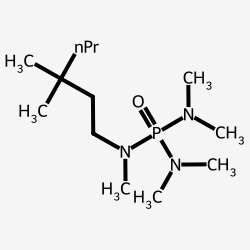 CCCC(C)(C)CCN(C)P(=O)(N(C)C)N(C)C